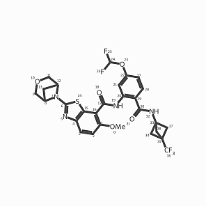 COc1ccc2nc(N3C4COCC3C4)sc2c1C(=O)Nc1cc(OC(F)F)ccc1C(=O)NC12CC(C(F)(F)F)(C1)C2